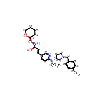 O=C(C=Cc1ccc(N(C(=O)O)[C@@H]2CCN(Cc3ccc(C(F)(F)F)cc3)C2)nc1)NOC1CCCCO1